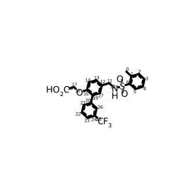 Cc1ccccc1S(=O)(=O)NCc1ccc(OCC(=O)O)c(-c2cccc(C(F)(F)F)c2)c1